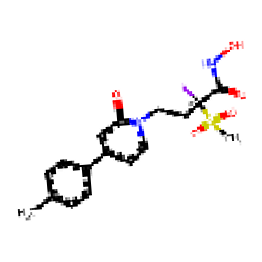 Cc1ccc(-c2ccn(CC[C@](I)(C(=O)NO)S(C)(=O)=O)c(=O)c2)cc1